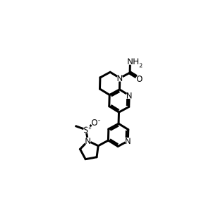 C[S+]([O-])N1CCCC1c1cncc(-c2cnc3c(c2)CCCN3C(N)=O)c1